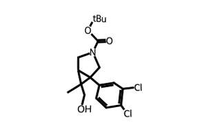 CC(C)(C)OC(=O)N1CC2C(C)(CO)C2(c2ccc(Cl)c(Cl)c2)C1